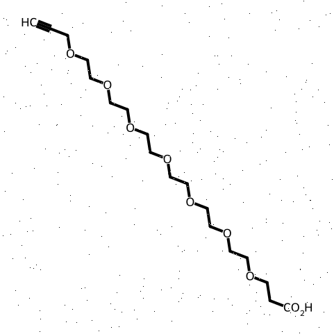 C#CCOCCOCCOCCOCCOCCOCCOCCC(=O)O